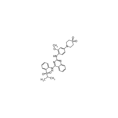 COc1cc(N2CCS(=O)(=O)CC2)ccc1Nc1nc(Nc2ccccc2S(=O)(=O)C(C)C)c2ccccc2n1